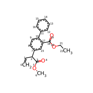 C=CC(C(=O)OC)c1ccc(-c2ccccc2)c(C(=O)OCC)c1